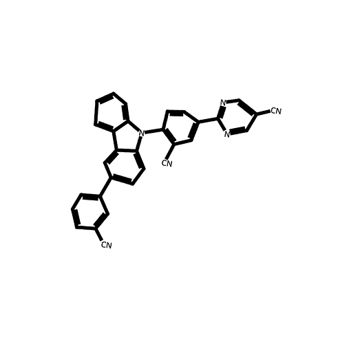 N#Cc1cnc(-c2ccc(-n3c4ccccc4c4cc(-c5cccc(C#N)c5)ccc43)c(C#N)c2)nc1